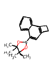 CC1(C)OB(c2cc3c(c4ccccc24)CC3)OC1(C)C